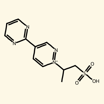 CC(CS(=O)(=O)O)[n+]1ccc(-c2ncccn2)cn1